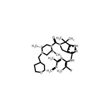 C=N/C(C)=N\C(Nc1n[nH]c2c1CN(C(=O)N1C[C@@H](C)N(CC3CCOCC3)C[C@@H]1C)C2(C)C)=C(/C)F